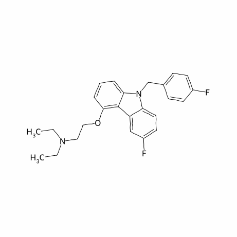 CCN(CC)CCOc1cccc2c1c1cc(F)ccc1n2Cc1ccc(F)cc1